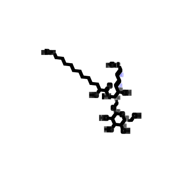 CCCCCCCC/C=C/C=C/[C@@H](O)[C@H](CO[C@@H]1O[C@H](CO)[C@@H](O)C(O)C1O)NC(=O)C(O)CCCCCCCCCCCCCCCCCCCC